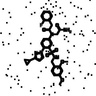 COc1ccc(CNS(=O)(=O)c2cc(N(CC(N)=O)C(=O)Cc3ccccc3F)ccc2-n2ccc(C3CC3)n2)c(OC)c1